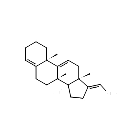 C[C@]12CCCC=C1CC[C@@H]1C2=CC[C@]2(C)C(=CC=O)CC[C@@H]12